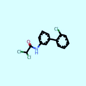 O=C(Nc1cccc(-c2ccccc2Cl)c1)C(Cl)Cl